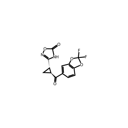 O=C(c1ccc2c(c1)OC(F)(F)O2)[C@H]1C[C@@H]1c1noc(=O)[nH]1